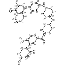 COc1ccc(C(=O)N2CCC(CN3CCC(Oc4ccc(-c5cn(C)c(=O)c6cnccc56)cc4)CC3)CC2)cc1N1CCC(=O)NC1=O